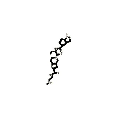 CC[C@@H](NC(=O)c1ccc2[nH]ncc2c1)C(=O)N1CCc2sc(C(=O)NCCNC)cc2C1